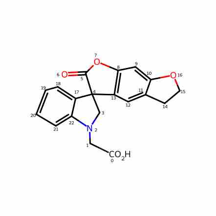 O=C(O)CN1CC2(C(=O)Oc3cc4c(cc32)CCO4)c2ccccc21